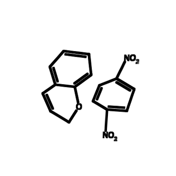 C1=Cc2ccccc2OC1.O=[N+]([O-])c1ccc([N+](=O)[O-])cc1